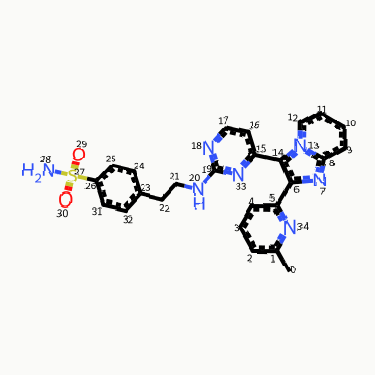 Cc1cccc(-c2nc3ccccn3c2-c2ccnc(NCCc3ccc(S(N)(=O)=O)cc3)n2)n1